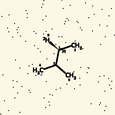 [2H][C@H](C)C(C)C